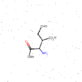 COC(=O)C(N)C(CC=O)C(=O)O